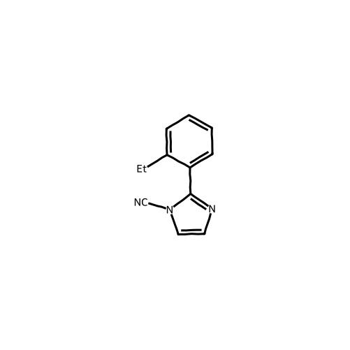 CCc1ccccc1-c1nccn1C#N